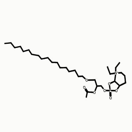 CCCCCCCCCCCCCCCCCCOCC(COP1(=O)OC2CCC[N+](CC)(CC)C2O1)OC(C)=O